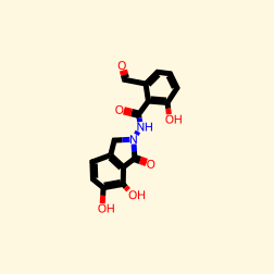 O=Cc1cccc(O)c1C(=O)NN1Cc2ccc(O)c(O)c2C1=O